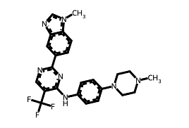 CN1CCN(c2ccc(Nc3nc(-c4ccc5c(c4)ncn5C)ncc3C(F)(F)F)cc2)CC1